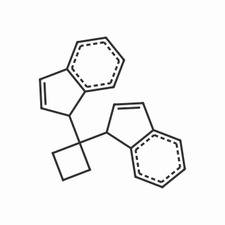 C1=CC(C2(C3C=Cc4ccccc43)CCC2)c2ccccc21